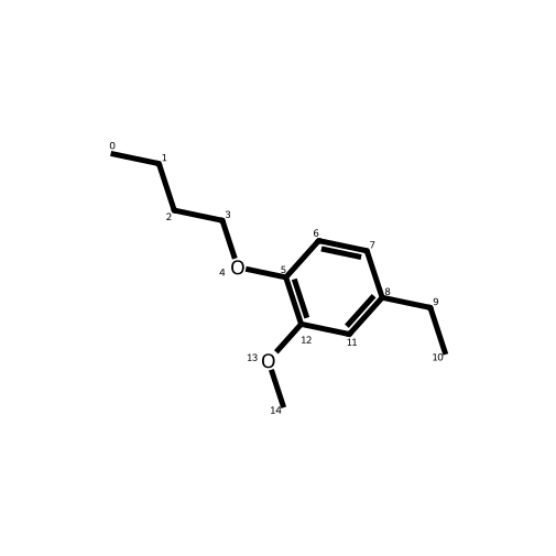 CCCCOc1ccc(CC)cc1OC